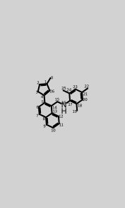 CC1=CCC(c2ccc3ccccc3c2CNc2c(C)cc(C)cc2C)=C1